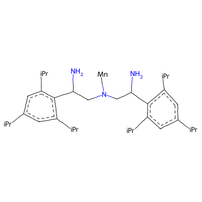 CC(C)c1cc(C(C)C)c(C(N)C[N]([Mn])CC(N)c2c(C(C)C)cc(C(C)C)cc2C(C)C)c(C(C)C)c1